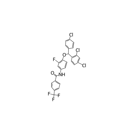 O=C(Nc1ccc(OC(c2ccc(Cl)cc2)c2ccc(Cl)cc2Cl)c(F)c1)c1ccc(C(F)(F)F)cc1